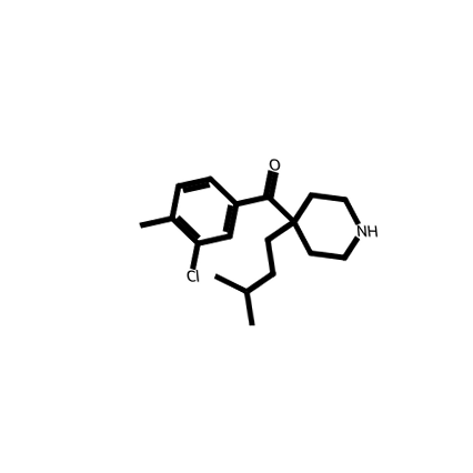 Cc1ccc(C(=O)C2(CCC(C)C)CCNCC2)cc1Cl